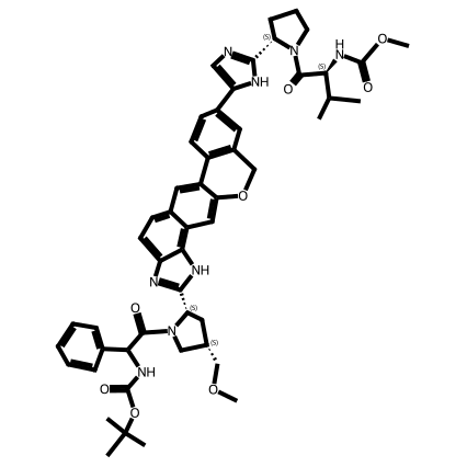 COC[C@H]1C[C@@H](c2nc3ccc4cc5c(cc4c3[nH]2)OCc2cc(-c3cnc([C@@H]4CCCN4C(=O)[C@@H](NC(=O)OC)C(C)C)[nH]3)ccc2-5)N(C(=O)C(NC(=O)OC(C)(C)C)c2ccccc2)C1